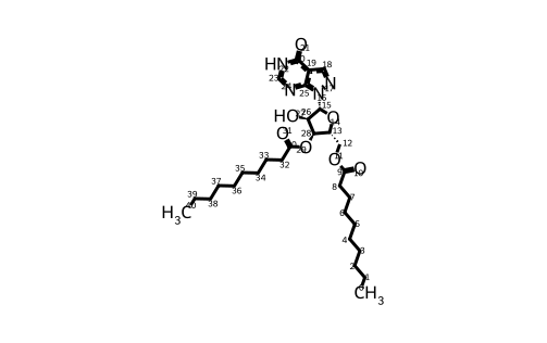 CCCCCCCCCC(=O)OC[C@H]1O[C@@H](n2ncc3c(=O)[nH]cnc32)[C@H](O)[C@@H]1OC(=O)CCCCCCCCC